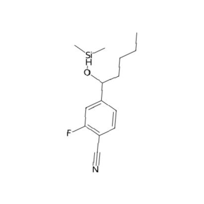 CCCCC(O[SiH](C)C)c1ccc(C#N)c(F)c1